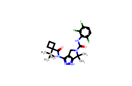 CC1(C)c2[nH]nc(NC(=O)C3([Si](C)(C)C)CCC3)c2CN1C(=O)Nc1c(F)ccc(F)c1F